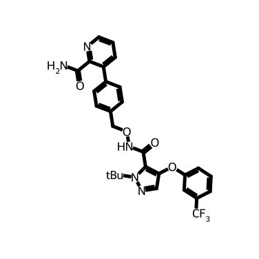 CC(C)(C)n1ncc(Oc2cccc(C(F)(F)F)c2)c1C(=O)NOCc1ccc(-c2cccnc2C(N)=O)cc1